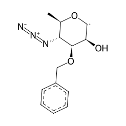 C[C@H]1O[CH][C@@H](O)[C@@H](OCc2ccccc2)[C@@H]1N=[N+]=[N-]